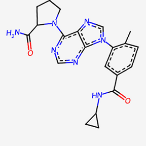 Cc1ccc(C(=O)NC2CC2)cc1-n1cnc2c(N3CCCC3C(N)=O)ncnc21